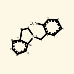 O=[N+]([O-])c1ccccc1CN1CCc2ccccc21